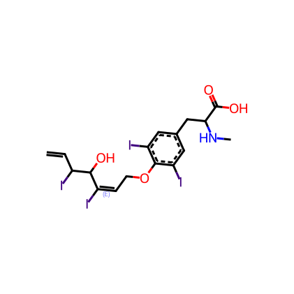 C=CC(I)C(O)/C(I)=C\COc1c(I)cc(CC(NC)C(=O)O)cc1I